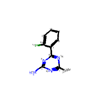 CSc1nc(N)nc(-c2ccccc2F)n1